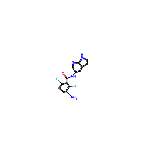 Nc1ccc(F)c(C(=O)Nc2cnc3[nH]ccc3c2)c1F